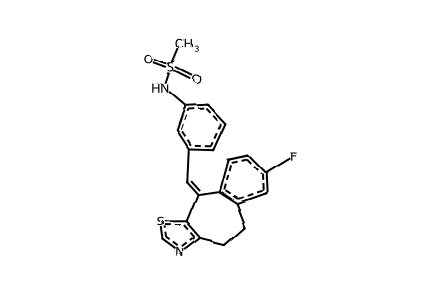 CS(=O)(=O)Nc1cccc(/C=C2\c3ccc(F)cc3CCc3ncsc32)c1